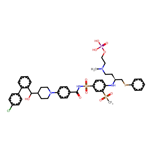 CN(CCOP(=O)(O)O)CC[C@@H](CSc1ccccc1)Nc1ccc(S(=O)(=O)NC(=O)c2ccc(N3CCC(C(O)c4ccccc4-c4ccc(Cl)cc4)CC3)cc2)cc1S(=O)(=O)C(F)(F)F